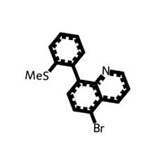 CSc1ccccc1-c1ccc(Br)c2cccnc12